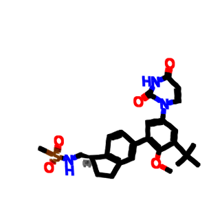 COc1c(-c2ccc3c(c2)CC[C@H]3CNS(C)(=O)=O)cc(-n2ccc(=O)[nH]c2=O)cc1C(C)(C)C